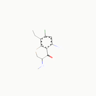 CCc1c(F)cc(N)c2c1SCC(NC)C2=O